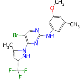 COc1cc(C)cc(Nc2ncc(Br)c(N3NC(C(F)(F)F)C=C3C)n2)c1